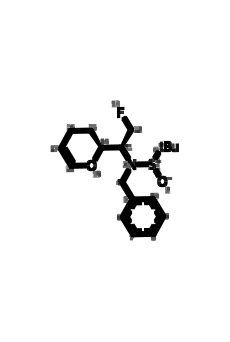 CC(C)(C)[S+]([O-])N(Cc1ccccc1)[C@H](CF)[C@@H]1CCC=CO1